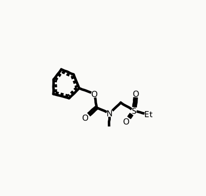 CCS(=O)(=O)CN(C)C(=O)Oc1ccccc1